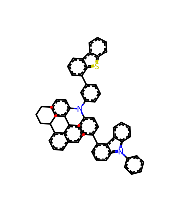 c1ccc(-n2c3ccccc3c3c(-c4ccc(N(c5cccc(-c6cccc7c6sc6ccccc67)c5)c5ccccc5-c5cccc6cccc(C7CCCCC7)c56)cc4)cccc32)cc1